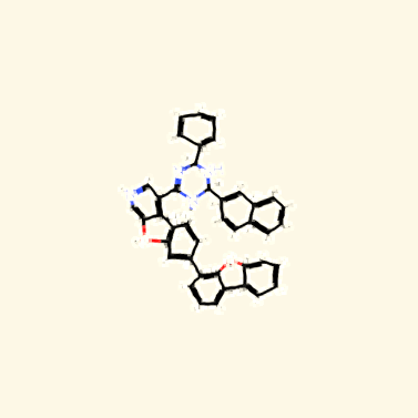 CN1C(c2cncc3oc4cc(-c5cccc6c5oc5ccccc56)ccc4c23)=NC(c2ccccc2)NC1c1ccc2ccccc2c1